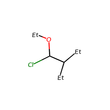 CCOC(Cl)C(CC)CC